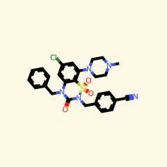 CN1CCN(c2cc(Cl)cc3c2S(=O)(=O)N(Cc2ccc(C#N)cc2)C(=O)N3Cc2ccccc2)CC1